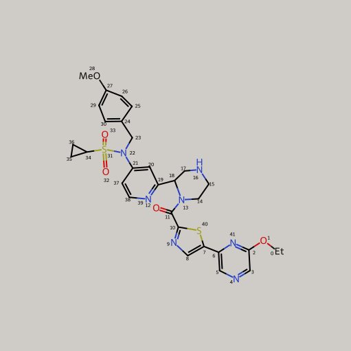 CCOc1cncc(-c2cnc(C(=O)N3CCNCC3c3cc(N(Cc4ccc(OC)cc4)S(=O)(=O)C4CC4)ccn3)s2)n1